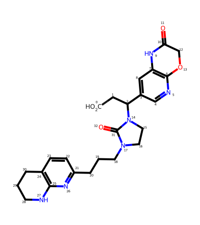 O=C(O)CC(c1cnc2c(c1)NC(=O)CO2)N1CCN(CCCc2ccc3c(n2)NCCC3)C1=O